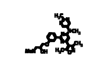 CNCC(O)COc1cccc(-c2nc(-c3c(C)noc3C)cc(N(C)c3cnc(C)nc3)n2)c1